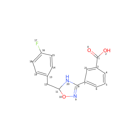 O=C(O)c1cccc(C2=NOC(Cc3ccc(F)cc3)N2)c1